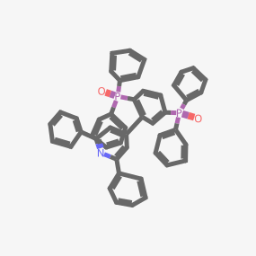 O=P(c1ccccc1)(c1ccccc1)c1ccc(P(=O)(c2ccccc2)c2ccccc2)c(-c2cc(-c3ccccc3)nc(-c3ccccc3)c2)c1